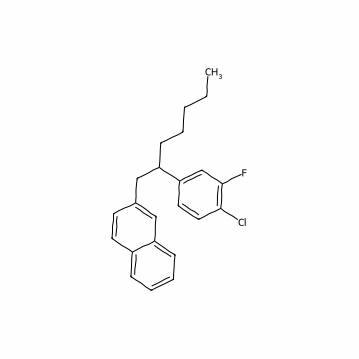 CCCCCC(Cc1ccc2ccccc2c1)c1ccc(Cl)c(F)c1